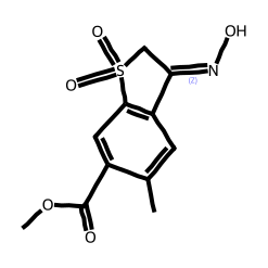 COC(=O)c1cc2c(cc1C)/C(=N/O)CS2(=O)=O